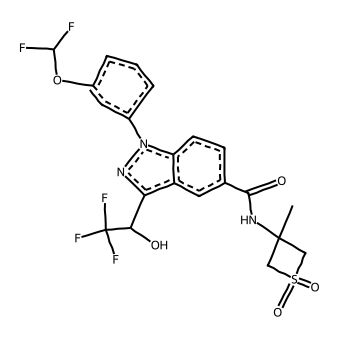 CC1(NC(=O)c2ccc3c(c2)c(C(O)C(F)(F)F)nn3-c2cccc(OC(F)F)c2)CS(=O)(=O)C1